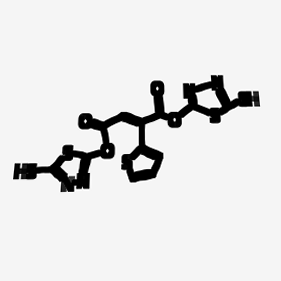 O=C(/C=C(/C(=O)Oc1nnc(S)s1)c1cccs1)Oc1nnc(S)s1